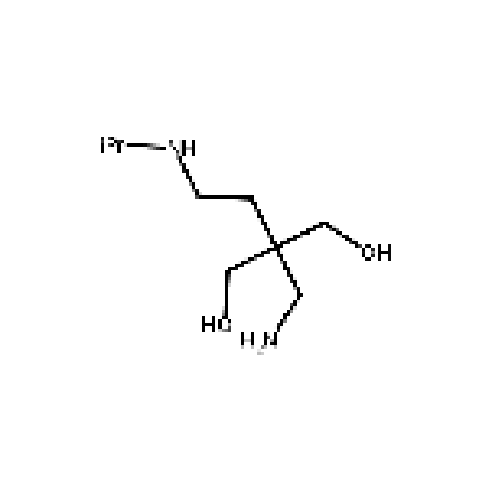 CC(C)NCCC(CN)(CO)CO